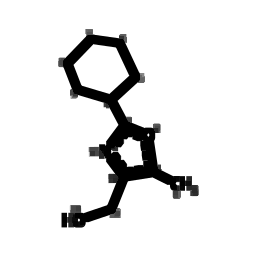 Cc1oc(C2CCCCC2)nc1CO